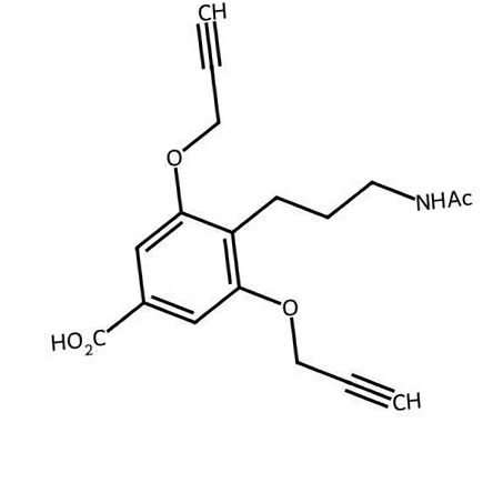 C#CCOc1cc(C(=O)O)cc(OCC#C)c1CCCNC(C)=O